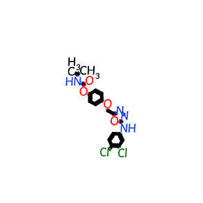 CC(C)NC(=O)Oc1ccc(OCc2nnc(Nc3ccc(Cl)c(Cl)c3)o2)cc1